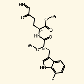 CC(C)OC(=O)[C@H](CCC(=O)C=N)NC(=O)[C@H](Cc1c[nH]c2c(F)cccc12)OC(C)C